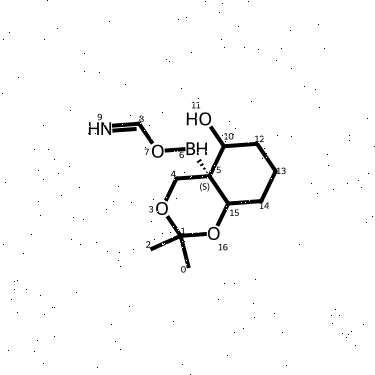 CC1(C)OC[C@@]2(BOC=N)C(O)CCCC2O1